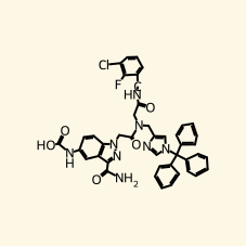 NC(=O)c1nn(CC(=O)N(CC(=O)NCc2cccc(Cl)c2F)Cc2cn(C(c3ccccc3)(c3ccccc3)c3ccccc3)cn2)c2ccc(NC(=O)O)cc12